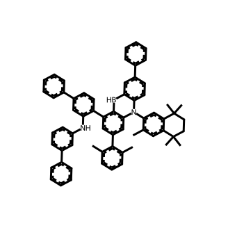 Cc1cc2c(cc1N1c3ccc(-c4ccccc4)cc3Bc3c(-c4ccc(-c5ccccc5)cc4Nc4cccc(-c5ccccc5)c4)cc(-c4c(C)cccc4C)cc31)C(C)(C)CCC2(C)C